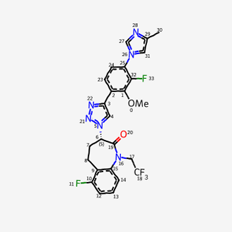 COc1c(-c2cn([C@H]3CCc4c(F)cccc4N(CC(F)(F)F)C3=O)nn2)ccc(-n2cnc(C)c2)c1F